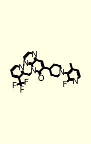 Cc1ccnc(F)c1N1CCC(c2cc3nccnc3n(Cc3ncccc3C(F)(F)F)c2=O)CC1